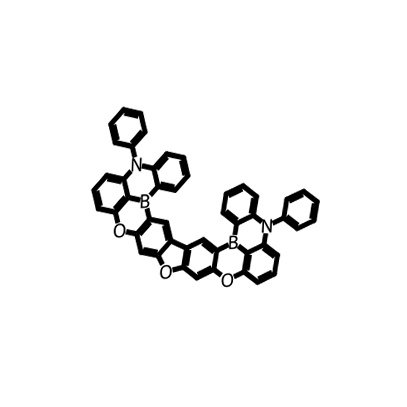 c1ccc(N2c3ccccc3B3c4cc5c(cc4Oc4cccc2c43)oc2cc3c(cc25)B2c4ccccc4N(c4ccccc4)c4cccc(c42)O3)cc1